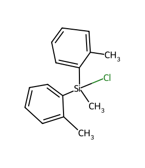 Cc1ccccc1[Si](C)(Cl)c1ccccc1C